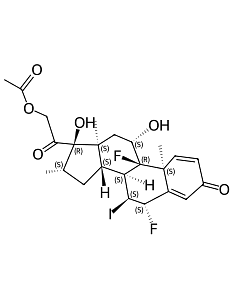 CC(=O)OCC(=O)[C@@]1(O)[C@@H](C)C[C@H]2[C@@H]3[C@H](I)[C@@H](F)C4=CC(=O)C=C[C@]4(C)[C@@]3(F)[C@@H](O)C[C@@]21C